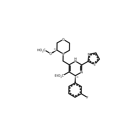 CCOC(=O)C1=C(CN2CCOC[C@@H]2OC(=O)O)NC(c2nccs2)=N[C@H]1c1cccc(F)c1